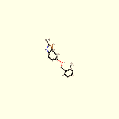 N#Cc1nc2ccc(OCc3ccccc3C(F)(F)F)cc2s1